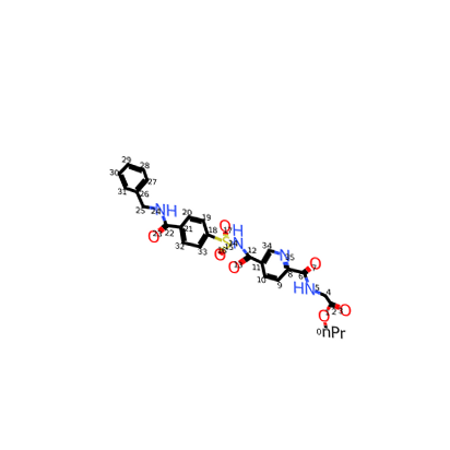 CCCOC(=O)CNC(=O)c1ccc(C(=O)NS(=O)(=O)c2ccc(C(=O)NCc3ccccc3)cc2)cn1